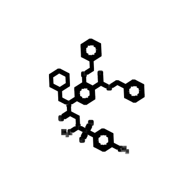 Cc1ccc(S(=O)(=O)N(C)CC(=O)N(CC2CCCCC2)c2ccc(C(=O)OCc3ccccc3)c(OCc3ccccc3)c2)cc1